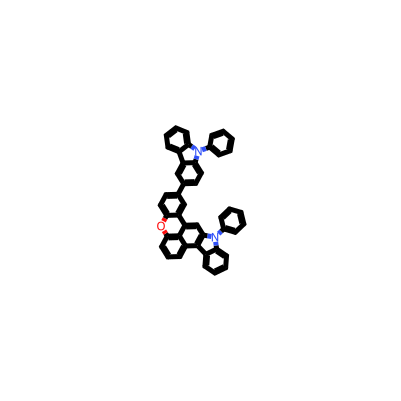 c1ccc(-n2c3ccccc3c3cc(-c4ccc5c(c4)-c4cc6c(c7cccc(c47)O5)c4ccccc4n6-c4ccccc4)ccc32)cc1